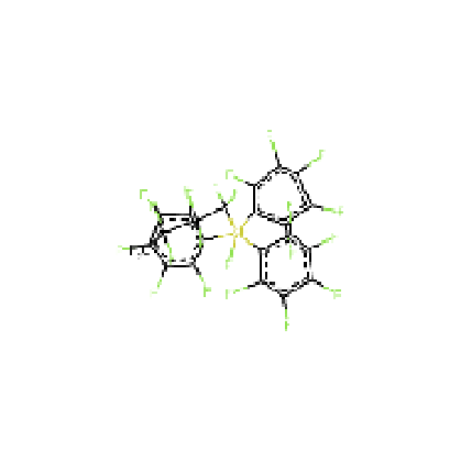 Fc1c(F)c(F)c([SH](F)(c2c(F)c(F)c(F)c(F)c2F)(c2c(F)c(F)c(F)c(F)c2F)C(F)(F)C(F)(F)C(F)(F)C(F)(F)F)c(F)c1F